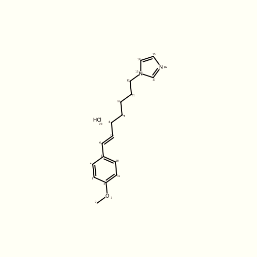 COc1ccc(C=CCCCCCn2ccnc2)cc1.Cl